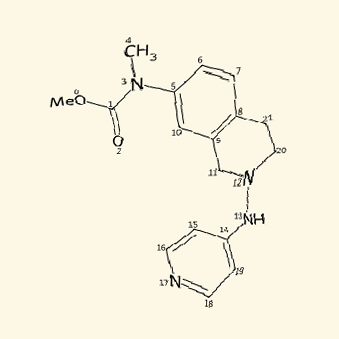 COC(=O)N(C)c1ccc2c(c1)CN(Nc1ccncc1)CC2